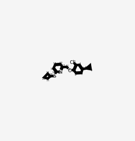 Clc1cc(C2CC2)ccc1OCc1cccc(SC2CCC2)n1